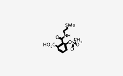 CSCCNC(=O)c1c(OS(C)(=O)=O)cccc1C(=O)O